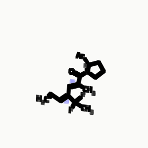 C=C/C=C(\C=C(/C)C(=O)N1CCC[C@@H]1C(C)=O)C(C)(F)F